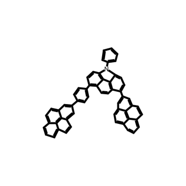 c1ccc(-n2c3ccc(-c4ccc(-c5cc6ccc7cccc8ccc(c5)c6c78)cc4)c4ccc5c(-c6cc7ccc8cccc9ccc(c6)c7c89)ccc2c5c43)cc1